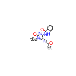 CCC(=O)/C=C/c1cn(C(C)(C)C)c(=O)nc1NC(=O)c1ccccc1